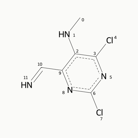 CNc1c(Cl)nc(Cl)nc1C=N